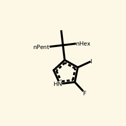 CCCCCCC(C)(CCCCC)c1c[nH]c(F)c1I